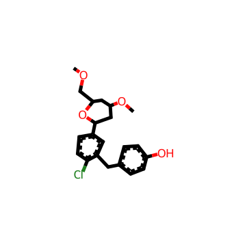 COCC1CC(OC)CC(c2ccc(Cl)c(Cc3ccc(O)cc3)c2)O1